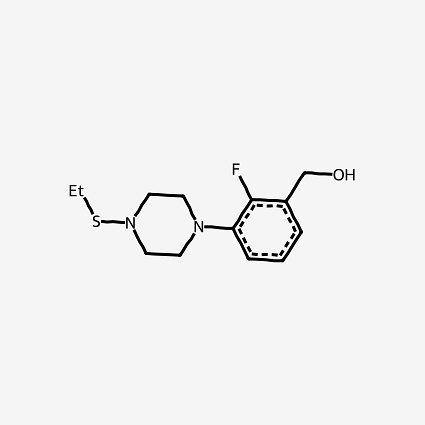 CCSN1CCN(c2cccc(CO)c2F)CC1